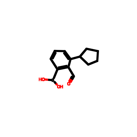 O=Cc1c(B(O)O)cccc1C1CCCC1